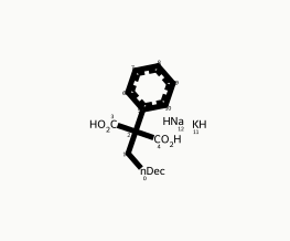 CCCCCCCCCCCC(C(=O)O)(C(=O)O)c1ccccc1.[KH].[NaH]